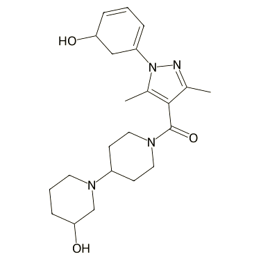 Cc1nn(C2=CC=CC(O)C2)c(C)c1C(=O)N1CCC(N2CCCC(O)C2)CC1